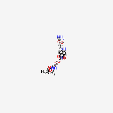 CC(C)(C)OC(=O)NCCOCCOCCN1C(=O)c2cccc3c(NCCCC(=O)OCCN)ccc(c23)C1=O